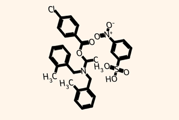 Cc1ccccc1CN(Cc1ccccc1C)C(C)OC(=O)c1ccc(Cl)cc1.O=[N+]([O-])c1cccc(S(=O)(=O)O)c1